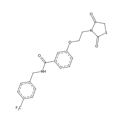 O=C(NCc1ccc(C(F)(F)F)cc1)c1cccc(OCCN2C(=O)CSC2=O)c1